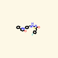 O=C1N=C(NN=Cc2ccc(-n3nc(-c4ccccc4)ccc3=O)cc2)SC1=Cc1ccc(F)cc1